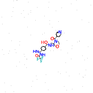 N=C(NC(=O)C(F)(F)F)c1ccc(C(O)NCC2COCCN2C(=O)c2ccncc2)cc1